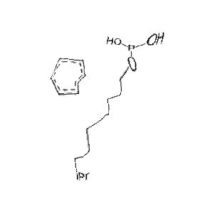 CC(C)CCCCCCCOP(O)O.c1ccccc1